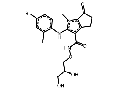 Cn1c(Nc2ccc(Br)cc2F)c(C(=O)NOC[C@@H](O)CO)c2c1C(=O)CC2